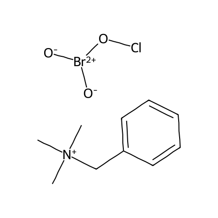 C[N+](C)(C)Cc1ccccc1.[O-][Br+2]([O-])OCl